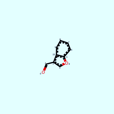 O=[C]c1coc2ccccc12